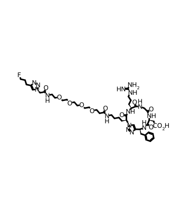 N=C(N)NCCC[C@@H]1NC(=O)[C@H](CCCCNC(=O)CCOCCOCCOCCOCCNC(=O)Cn2cc(CCCF)nn2)n2cc(nn2)[C@H](Cc2ccccc2)NC(=O)[C@H](CC(=O)O)NC(=O)CNC1=O